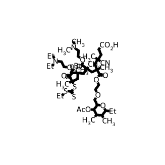 CCCCOC(=O)C(C)(CC(C)(CC(C)(CC(C)(CC(C)(C#N)CCC(=O)O)C(=O)OCCOCC1OC(CC)C(C)C(C)C1OC(C)=O)C(=O)OCCN(C)C)C(=O)OCCN(CC)CC)SC(=S)SCC